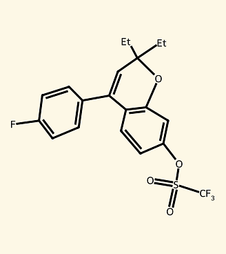 CCC1(CC)C=C(c2ccc(F)cc2)c2ccc(OS(=O)(=O)C(F)(F)F)cc2O1